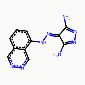 NC1=NN=C(N)C1=NNc1cccc2cnncc12